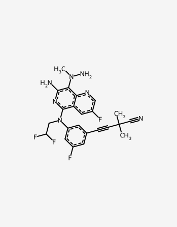 CN(N)c1c(N)nc(N(CC(F)F)c2cc(F)cc(C#CC(C)(C)C#N)c2)c2cc(F)cnc12